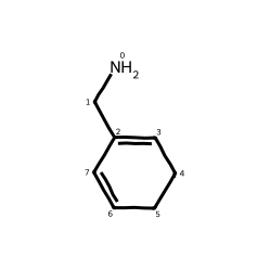 NCC1=C[CH]CC=C1